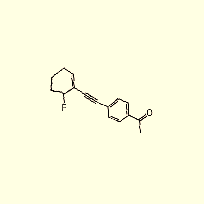 CC(=O)c1ccc(C#CC2=CCCCC2F)cc1